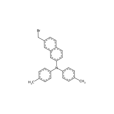 Cc1ccc(N(c2ccc(C)cc2)c2ccc3ccc(CBr)cc3c2)cc1